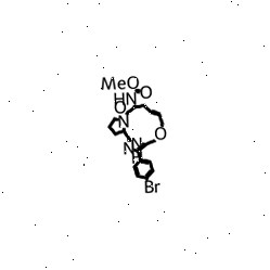 COC(=O)NC1C/C=C/COCc2[nH]c(nc2-c2ccc(Br)cc2)C2CCCN2C1=O